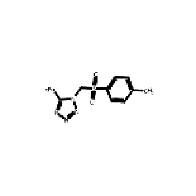 Cc1ccc(S(=O)(=O)Cn2nnnc2C(C)(C)C)cc1